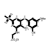 CCOC(=O)CNc1nc(S(C)(=O)=O)nc(Oc2cc(C#N)cc(OC)c2)c1[N+](=O)[O-]